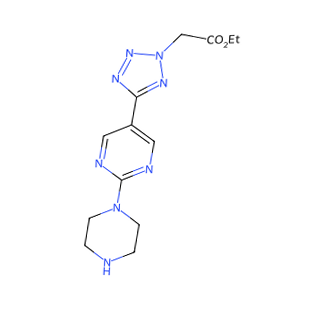 CCOC(=O)Cn1nnc(-c2cnc(N3CCNCC3)nc2)n1